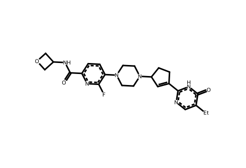 CCc1cnc(C2=CC(N3CCN(c4ccc(C(=O)NC5COC5)nc4F)CC3)CC2)[nH]c1=O